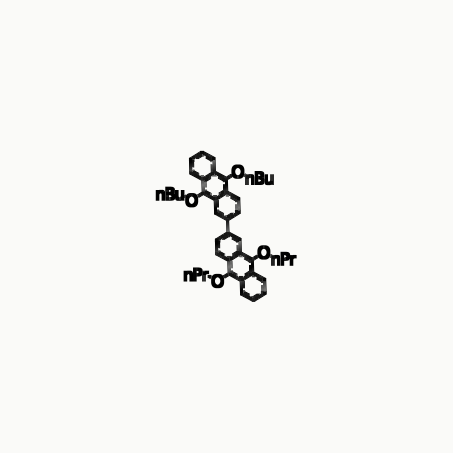 CCCCOc1c2ccccc2c(OCCCC)c2cc(-c3ccc4c(OCCC)c5ccccc5c(OCCC)c4c3)ccc12